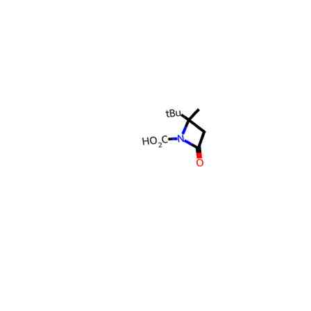 CC(C)(C)C1(C)CC(=O)N1C(=O)O